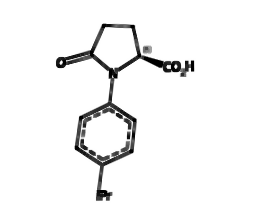 CC(C)c1ccc(N2C(=O)CC[C@H]2C(=O)O)cc1